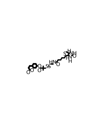 CC(C)(CSSCCNC(=O)CCCCC1SC[C@@H]2NC(=O)N[C@H]12)C(=O)Oc1ccc2ccc(=O)oc2c1